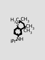 CC(C)Nc1ccc2c(c1)C(C)(C)CC(C)(C)S2